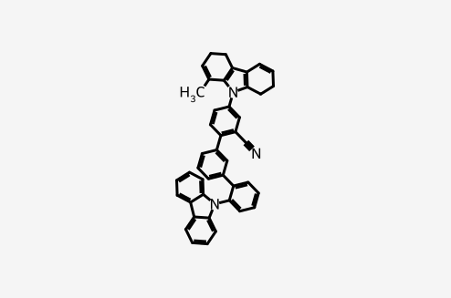 CC1=CCCc2c3c(n(-c4ccc(-c5cccc(-c6ccccc6-n6c7ccccc7c7ccccc76)c5)c(C#N)c4)c21)CCC=C3